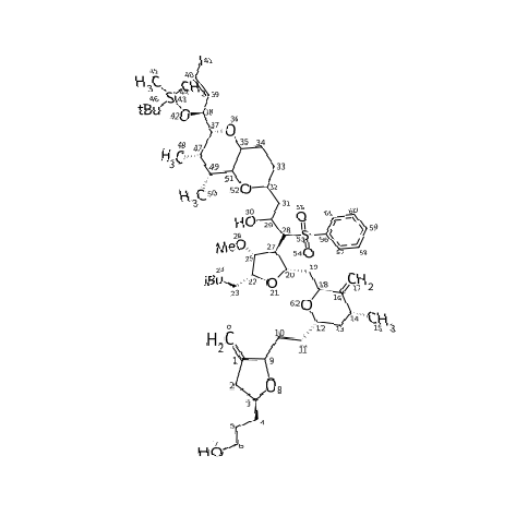 C=C1C[C@H](CCCO)OC1CC[C@H]1C[C@@H](C)C(=C)C(C[C@@H]2O[C@H](C[C@H](C)CC)[C@H](OC)[C@H]2C(C(O)CC2CCC3O[C@@H]([C@H](/C=C/I)O[Si](C)(C)C(C)(C)C)[C@@H](C)[C@@H](C)C3O2)S(=O)(=O)c2ccccc2)O1